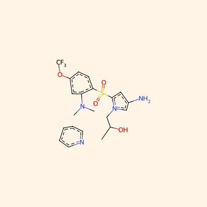 CC(O)Cn1cc(N)cc1S(=O)(=O)c1ccc(OC(F)(F)F)cc1N(C)C.c1ccncc1